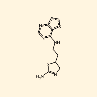 NC1=NCC(CCNc2ncnc3ccsc23)S1